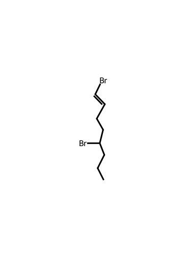 CCCC(Br)CCC=CBr